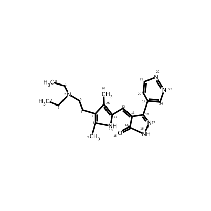 CCN(CC)CCc1c(C)[nH]c(C=C2C(=O)NN=C2c2ccnnc2)c1C